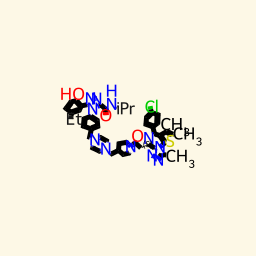 CCc1ccc(O)c(-c2nnc(C(=O)NC(C)C)n2-c2ccc(CN3CCN(CC4CCN(C(=O)C[C@@H]5N=C(c6ccc(Cl)cc6)c6c(sc(C)c6C)-n6c(C)nnc65)CC4)CC3)cc2)c1